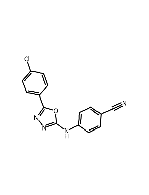 N#Cc1ccc(Nc2nnc(-c3ccc(Cl)cc3)o2)cc1